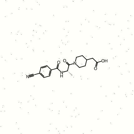 C[C@H](NC(=O)c1ccc(C#N)cc1)C(=O)N1CCC(CC(=O)O)CC1